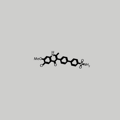 COc1cc2[nH]c(C)c(-c3ccc(-c4ccc(S(N)(=O)=O)cc4)cc3)c(=O)c2cc1Cl